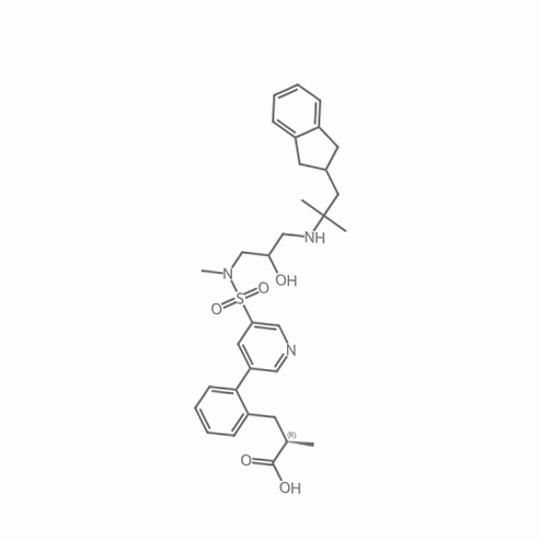 C[C@H](Cc1ccccc1-c1cncc(S(=O)(=O)N(C)CC(O)CNC(C)(C)CC2Cc3ccccc3C2)c1)C(=O)O